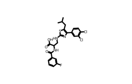 CC(C)Cc1sc(NCC(NC(=O)c2cccc(F)c2)C(=O)O)nc1-c1ccc(Cl)c(Cl)c1